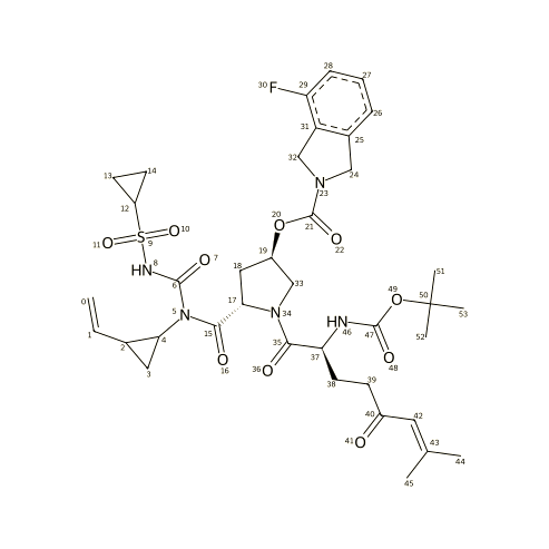 C=CC1CC1N(C(=O)NS(=O)(=O)C1CC1)C(=O)[C@@H]1C[C@@H](OC(=O)N2Cc3cccc(F)c3C2)CN1C(=O)[C@H](CCC(=O)C=C(C)C)NC(=O)OC(C)(C)C